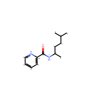 CC(C)CCC(C)NC(=O)c1ccccn1